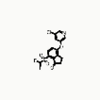 O=C1CCc2c(Oc3cncc(Cl)c3)ccc(S(=O)(=O)C(F)F)c21